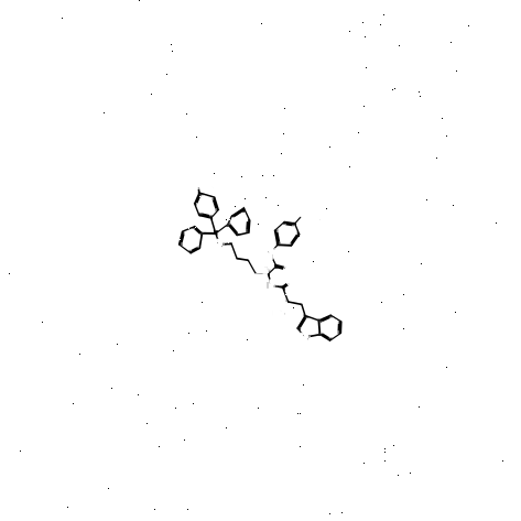 [CH2]c1ccc(NC(=O)[C@H](CCCCNC(c2ccccc2)(c2ccccc2)c2ccc(C)cc2)NC(=O)[C@@H](N)Cc2c[nH]c3ccccc23)cc1